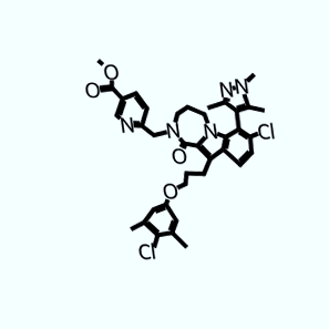 COC(=O)c1ccc(CN2CCCn3c(c(CCCOc4cc(C)c(Cl)c(C)c4)c4ccc(Cl)c(-c5c(C)nn(C)c5C)c43)C2=O)nc1